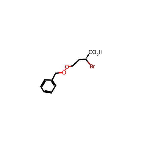 O=C(O)[C@@H](Br)CCOOCc1ccccc1